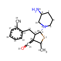 CC1S[C@@H](N2CCCC(N)C2)C(Cc2ccccc2C#N)C1=C=O